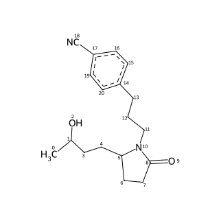 CC(O)CCC1CCC(=O)N1CCCc1ccc(C#N)cc1